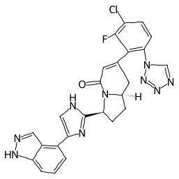 O=C1C=C(c2c(-n3cnnn3)ccc(Cl)c2F)C[C@H]2CC[C@@H](c3nc(-c4cccc5[nH]ncc45)c[nH]3)N12